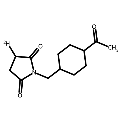 [2H]C1CC(=O)N(CC2CCC(C(C)=O)CC2)C1=O